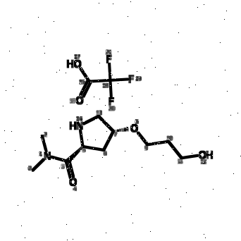 CN(C)C(=O)[C@@H]1C[C@@H](OCCCO)CN1.O=C(O)C(F)(F)F